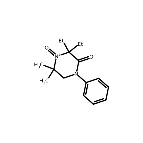 CCC1(CC)C(=O)N(c2ccccc2)CC(C)(C)[N+]1=O